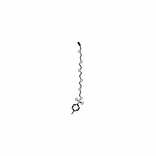 C#CCOCCOCCOCCOCCOCCOS(=O)(=O)c1ccc(C)cc1